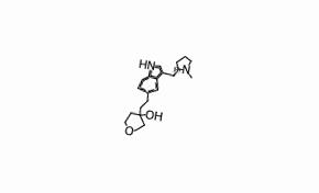 CN1CCC[C@@H]1Cc1c[nH]c2ccc(CCC3(O)CCOCC3)cc12